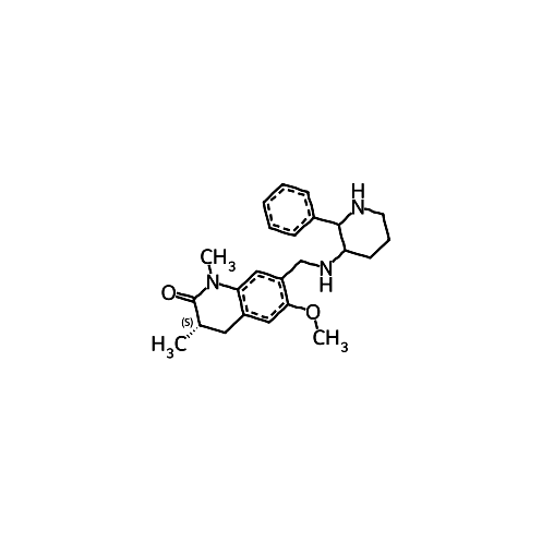 COc1cc2c(cc1CNC1CCCNC1c1ccccc1)N(C)C(=O)[C@@H](C)C2